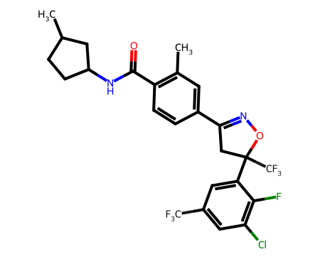 Cc1cc(C2=NOC(c3cc(C(F)(F)F)cc(Cl)c3F)(C(F)(F)F)C2)ccc1C(=O)NC1CCC(C)C1